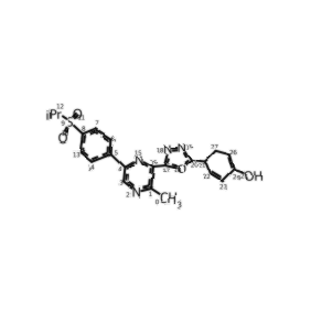 Cc1ncc(-c2ccc(S(=O)(=O)C(C)C)cc2)nc1-c1nnc(C2C=CC(O)=CC2)o1